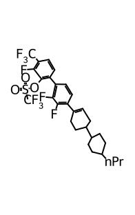 CCCC1CCC(C2CC=C(c3ccc(-c4ccc(C(F)(F)F)c(F)c4OS(=O)(=O)C(F)(F)F)c(F)c3F)CC2)CC1